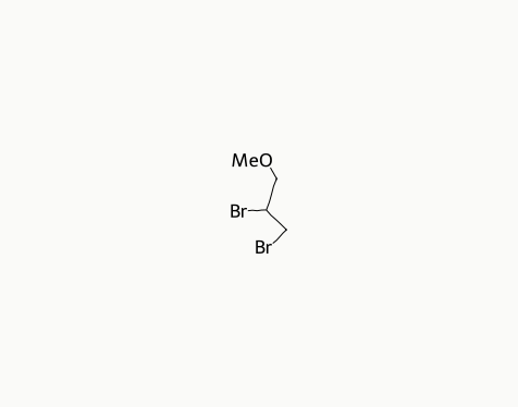 COCC(Br)CBr